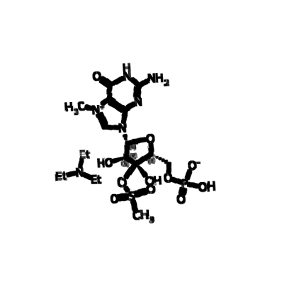 CCN(CC)CC.C[n+]1cn([C@@H]2O[C@H](COP(=O)([O-])O)[C@](O)(OS(C)(=O)=O)[C@H]2O)c2nc(N)[nH]c(=O)c21